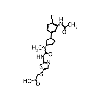 CC(=O)Nc1cc(C2CCC(N(C)C(=O)Nc3ncc(SCC(=O)O)s3)C2)ccc1F